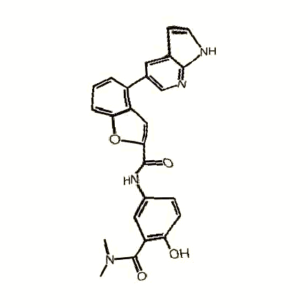 CN(C)C(=O)c1cc(NC(=O)c2cc3c(-c4cnc5[nH]ccc5c4)cccc3o2)ccc1O